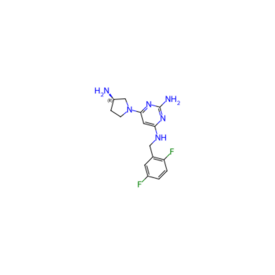 Nc1nc(NCc2cc(F)ccc2F)cc(N2CC[C@@H](N)C2)n1